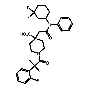 CC(C)(C(=O)N1CCC(CC(=O)N(c2ccccc2)C2CCCC(F)(F)C2)(C(=O)O)CC1)c1ccccc1F